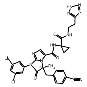 C[C@@]1(Cc2ccc(C#N)cc2)C(=O)N(c2cc(Cl)cc(Cl)c2)c2ncc(C(=O)NC3(C(=O)NCCc4nn[nH]n4)CC3)n21